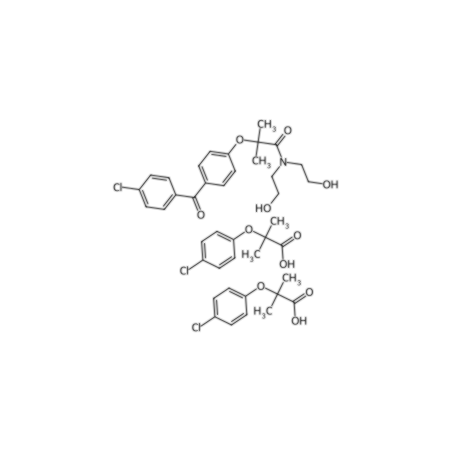 CC(C)(Oc1ccc(C(=O)c2ccc(Cl)cc2)cc1)C(=O)N(CCO)CCO.CC(C)(Oc1ccc(Cl)cc1)C(=O)O.CC(C)(Oc1ccc(Cl)cc1)C(=O)O